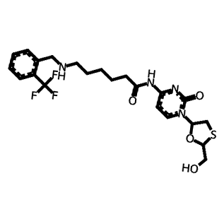 O=C(CCCCCNCc1ccccc1C(F)(F)F)Nc1ccn(C2CSC(CO)O2)c(=O)n1